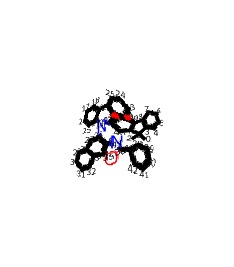 CC1(C)c2ccccc2-c2ccc(N(c3ccccc3-c3ccccc3)c3cc4ccccc4c4oc(-c5ccccc5)nc34)cc21